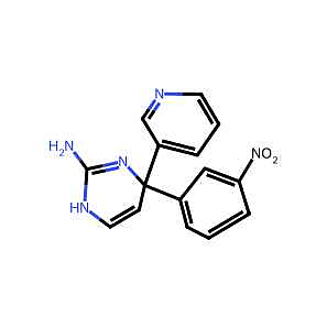 NC1=NC(c2cccnc2)(c2cccc([N+](=O)[O-])c2)C=CN1